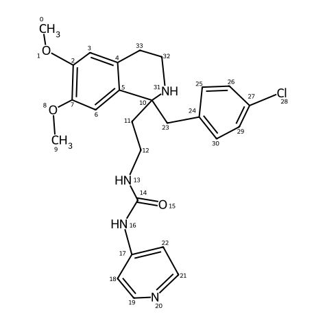 COc1cc2c(cc1OC)C(CCNC(=O)Nc1ccncc1)(Cc1ccc(Cl)cc1)NCC2